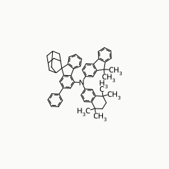 CC1(C)CCC(C)(C)c2cc(N(c3ccc4c(c3)C(C)(C)c3ccccc3-4)c3cc(-c4ccccc4)cc4c3-c3ccccc3C43C4CC5CC(C4)CC3C5)ccc21